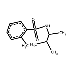 Cc1ccccc1S(=O)(=O)NC(C)C(C)C